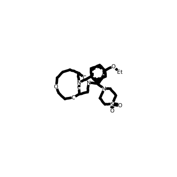 CCOc1ccc(N2CC3CCCOCCCC2CN(C(=O)N2CCS(=O)(=O)CC2)C3)cc1